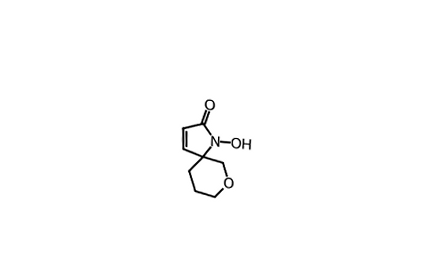 O=C1C=CC2(CCCOC2)N1O